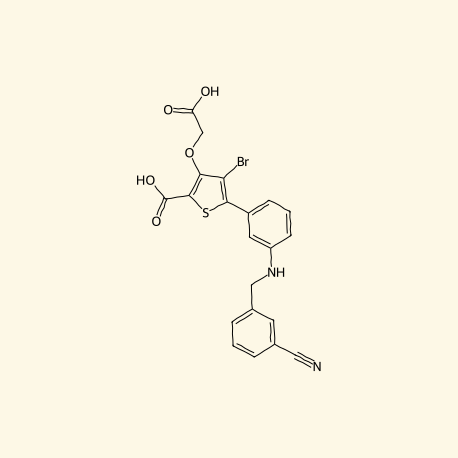 N#Cc1cccc(CNc2cccc(-c3sc(C(=O)O)c(OCC(=O)O)c3Br)c2)c1